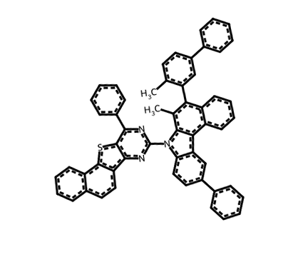 Cc1ccc(-c2ccccc2)cc1-c1c(C)c2c(c3ccccc13)c1cc(-c3ccccc3)ccc1n2-c1nc(-c2ccccc2)c2sc3c4ccccc4ccc3c2n1